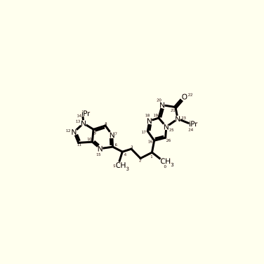 CC(CCC(C)c1ncc2c(cnn2C(C)C)n1)c1cnc2nc(=O)n(C(C)C)n2c1